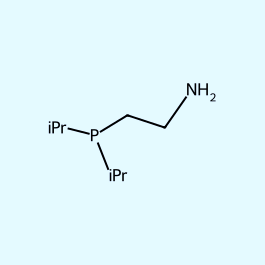 CC(C)P(CCN)C(C)C